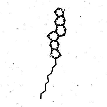 CCCCCCCCCc1cc2cc3c(ccc4c5cc6ccoc6cc5ccc34)cc2o1